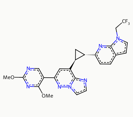 COc1ncc(-c2cc([C@H]3C[C@@H]3c3ccc4ccn(CC(F)(F)F)c4n3)c3nccn3n2)c(OC)n1